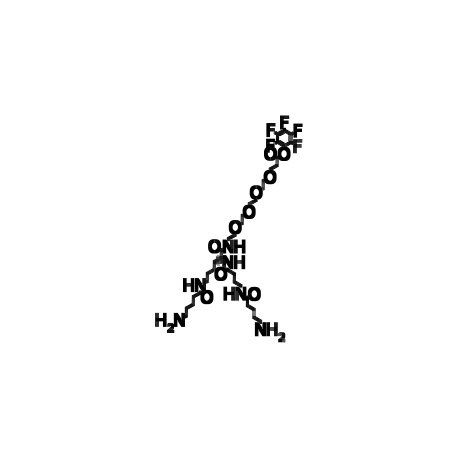 NCCCCC(=O)NCCCC[C@H](NC(=O)CCCNC(=O)CCCCN)C(=O)NCCOCCOCCOCCOCCC(=O)Oc1c(F)c(F)c(F)c(F)c1F